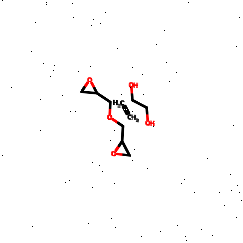 C(OCC1CO1)C1CO1.C=C.OCCO